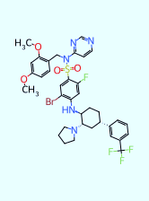 COc1ccc(CN(c2ccncn2)S(=O)(=O)c2cc(Br)c(N[C@H]3CC[C@H](c4cccc(C(F)(F)F)c4)C[C@@H]3N3CCCC3)cc2F)c(OC)c1